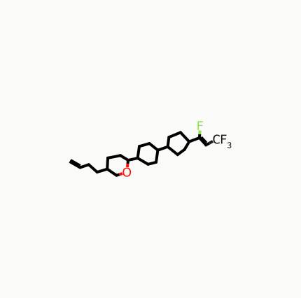 C=CCCC1CCC(C2CCC(C3CCC(/C(F)=C/C(F)(F)F)CC3)CC2)OC1